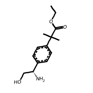 CCOC(=O)C(C)(C)c1ccc([C@H](N)CO)cc1